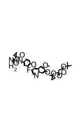 COc1cc2c(Oc3ccc(NC(=O)C4(C(N)=O)CC4)cc3F)ccnc2cc1OCC1(OC(=O)CC(=O)OC(C)(C)C)CC1